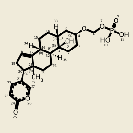 C[C@]12CC[C@H](OCOP(=O)(O)O)C[C@H]1CC[C@H]1C3=CC[C@H](c4ccc(=O)oc4)[C@@]3(C)CC[C@@H]12